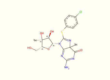 [2H]C12N=C(Sc3ccc(Cl)cc3)N([C@@H]3O[C@H](CO)[C@@]([2H])(O)[C@H]3O)C1=NC(N)=NC2=O